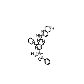 C[C@@H](OC(=O)c1ccccc1)c1cc2cnc(Nc3ccc4c(n3)CCNC4)nc2c(N2CCCCC2)n1